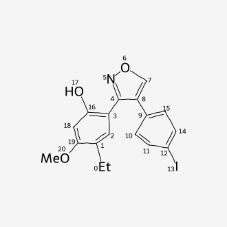 CCc1cc(-c2nocc2-c2ccc(I)cc2)c(O)cc1OC